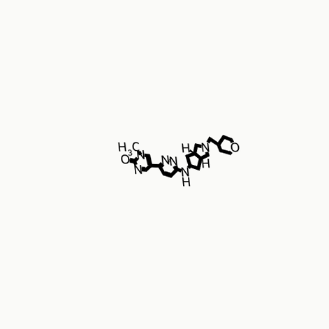 Cn1cc(-c2ccc(NC3C[C@@H]4CN(CC5CCOCC5)C[C@@H]4C3)nn2)cnc1=O